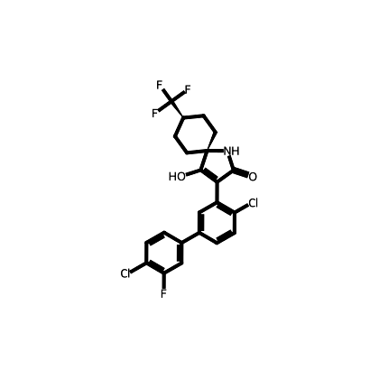 O=C1N[C@]2(CC[C@H](C(F)(F)F)CC2)C(O)=C1c1cc(-c2ccc(Cl)c(F)c2)ccc1Cl